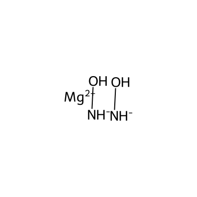 [Mg+2].[NH-]O.[NH-]O